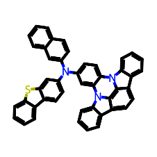 c1ccc2cc(N(c3ccc4c(c3)sc3ccccc34)c3ccc4c(c3)n3c5ccccc5c5ccc6c7ccccc7n4c6c53)ccc2c1